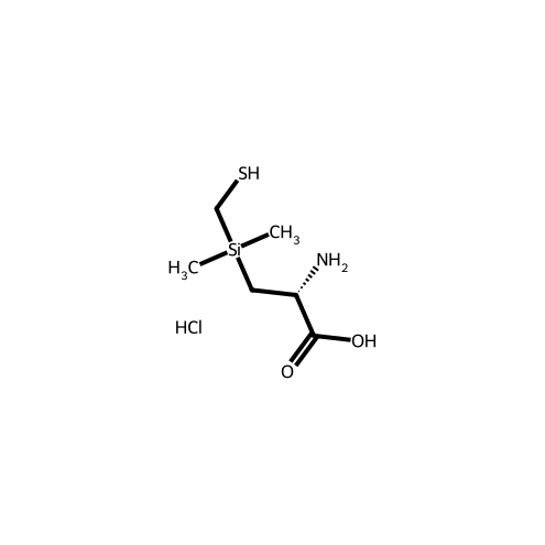 C[Si](C)(CS)C[C@H](N)C(=O)O.Cl